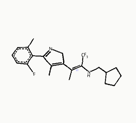 CC1=C(/C(C)=C(/NCC2CCCC2)C(F)(F)F)CN=C1c1c(C)cccc1F